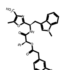 Cc1oc([C@@H](Cc2cn(C)c3ccccc23)NC(=O)[C@@H](OC(=O)Cc2cccc(F)c2)C(C)C)nc1C(=O)O